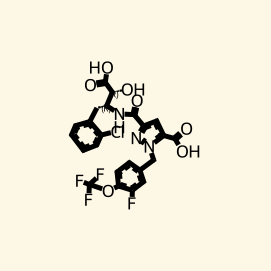 O=C(N[C@H](Cc1ccccc1Cl)[C@@H](O)C(=O)O)c1cc(C(=O)O)n(Cc2ccc(OC(F)(F)F)c(F)c2)n1